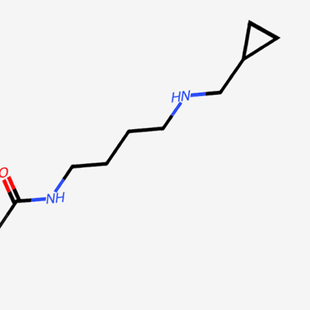 CCCCC(=O)NCCCCNCC1CC1